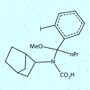 CCCC(OC)(c1ccccc1I)N(C(=O)O)C1CC2CCC1C2